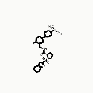 CN(C)c1ccc(-c2ccc(F)c(CNC(=O)[C@@H]3CCCN3S(=O)(=O)c3cc4ccccc4o3)c2)cn1